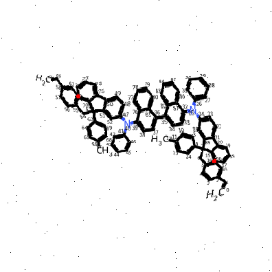 C=Cc1ccc(CC2(c3ccc(C)cc3)c3ccccc3-c3ccc(N(c4ccccc4)c4ccc(-c5ccc(N(c6ccccc6)c6ccc7c(c6)C(Cc6ccc(C=C)cc6)(c6ccc(C)cc6)c6ccccc6-7)c6ccccc56)c5ccccc45)cc32)cc1